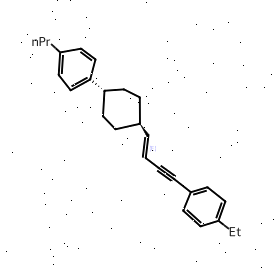 CCCc1ccc([C@H]2CC[C@H](/C=C/C#Cc3ccc(CC)cc3)CC2)cc1